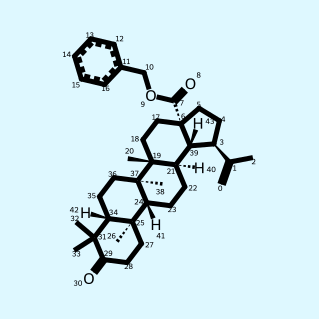 C=C(C)[C@@H]1CC[C@]2(C(=O)OCc3ccccc3)CC[C@]3(C)[C@H](CC[C@@H]4[C@@]5(C)CCC(=O)C(C)(C)[C@@H]5CC[C@]43C)[C@@H]12